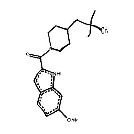 COc1ccc2cc(C(=O)N3CCC(CC(C)(C)O)CC3)[nH]c2c1